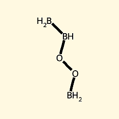 BBOOB